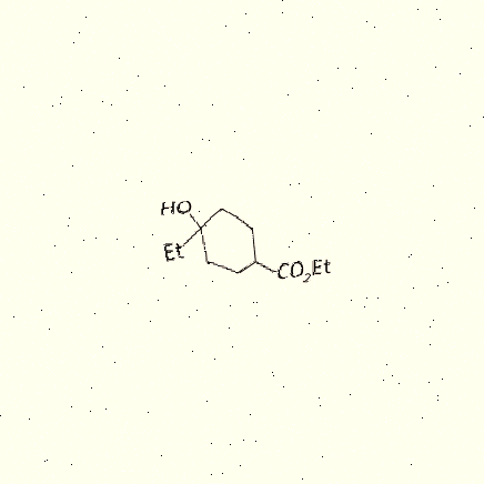 CCOC(=O)C1CCC(O)(CC)CC1